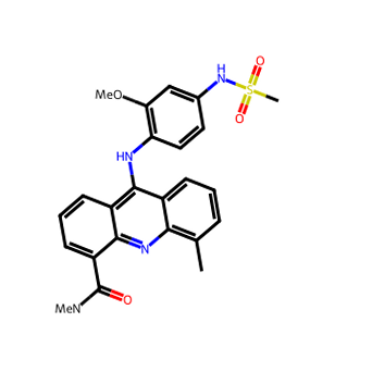 CNC(=O)c1cccc2c(Nc3ccc(NS(C)(=O)=O)cc3OC)c3cccc(C)c3nc12